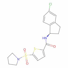 O=C(N[C@@H]1CCc2cc(Cl)ccc21)c1ccc(S(=O)(=O)N2CCCC2)s1